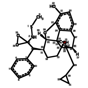 CSNC1(C(c2ccccc2)[C@@H]2CC[C@@]3(O)[C@H]4Cc5ccc(O)c6c5[C@@]3(CCN4CC3CC3)[C@H]2O6)OO1